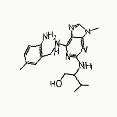 Cc1ccc(N)c(CNc2nc(NC(CO)C(C)C)nc3c2ncn3C)c1